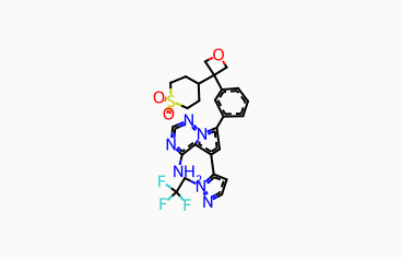 Nc1ncnn2c(-c3cccc(C4(C5CCS(=O)(=O)CC5)COC4)c3)cc(-c3ccnn3CC(F)(F)F)c12